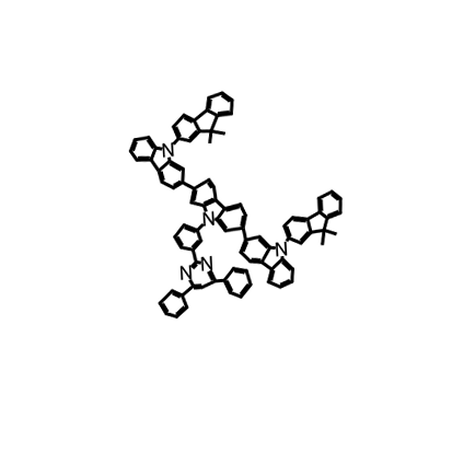 CC1(C)c2ccccc2-c2ccc(-n3c4ccccc4c4ccc(-c5ccc6c7ccc(-c8ccc9c%10ccccc%10n(-c%10ccc%11c(c%10)C(C)(C)c%10ccccc%10-%11)c9c8)cc7n(-c7cccc(-c8nc(-c9ccccc9)cc(-c9ccccc9)n8)c7)c6c5)cc43)cc21